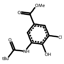 COC(=O)c1cc(Cl)c(O)c(NC(=O)C(C)(C)C)c1